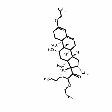 CCOC1=CC2=CC[C@H]3[C@@H]4C[C@H](C)[C@](O)(C(=O)C(OCC)OCC)[C@@]4(C)C[C@H](O)[C@]3(F)[C@@]2(C)CC1